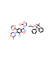 C[C@@H]1CN(c2c(C3OCCO3)cc3c(N4C(=O)OC[C@@H]4CCCO[Si](c4ccccc4)(c4ccccc4)C(C)(C)C)noc3c2Cl)C[C@@H](C)O1